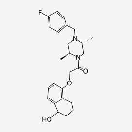 C[C@@H]1CN(C(=O)COc2cccc3c2CCCC3O)[C@@H](C)CN1Cc1ccc(F)cc1